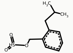 CC(C)Cc1ccccc1[CH]O[SH](=O)=O